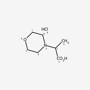 CC(C(=O)O)N1CCOCC1.Cl